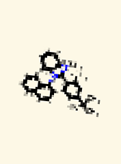 Cc1cc(C(C)(C)C)ccc1-c1n(-c2cccc3ccccc23)c2ccccc2[n+]1C